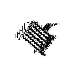 CCCCCCCCCCCCCCCCNC(=S)[S-].CCCCCCCCCCCCCCCCNC(=S)[S-].CCCCCCCCCCCCCCCCNC(=S)[S-].CCCCCCCCCCCCCCCCNC(=S)[S-].CCCCCCCCCCCCCCCCNC(=S)[S-].CCCCCCCCCCCCCCCCNC(=S)[S-].O=S.O=S.O=S.O=S.O=S.O=S.[Mo+6]